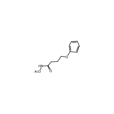 CC(=O)ONC(=O)CCCOc1ccccc1